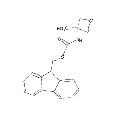 O=C(NC1(C(=O)O)COC1)OCC1c2ccccc2-c2ccccc21